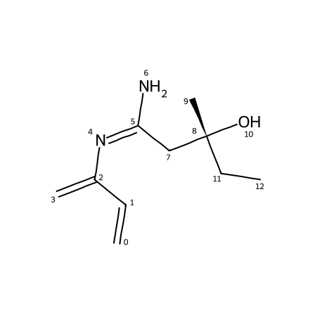 C=CC(=C)/N=C(/N)C[C@](C)(O)CC